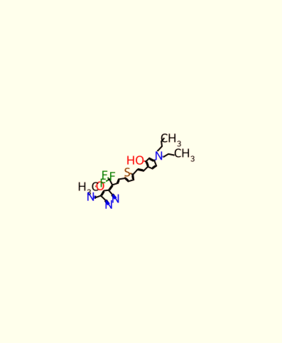 CCCCN(CCCC)c1ccc(/C=C/c2ccc(/C=C/C(=C(\C#N)C(OC)=C(C#N)C#N)C(F)(F)F)s2)c(O)c1